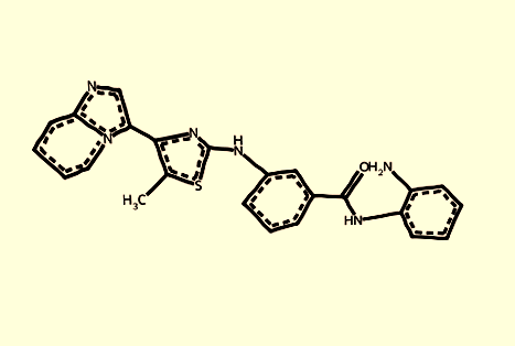 Cc1sc(Nc2cccc(C(=O)Nc3ccccc3N)c2)nc1-c1cnc2ccccn12